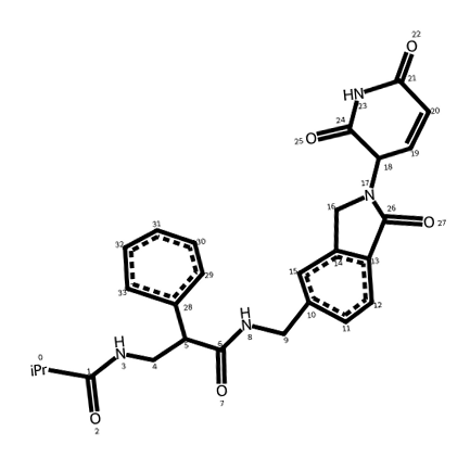 CC(C)C(=O)NCC(C(=O)NCc1ccc2c(c1)CN(C1C=CC(=O)NC1=O)C2=O)c1ccccc1